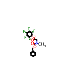 CN(CC(=O)Oc1c(F)c(F)c(F)c(F)c1F)C(=O)OCc1ccccc1